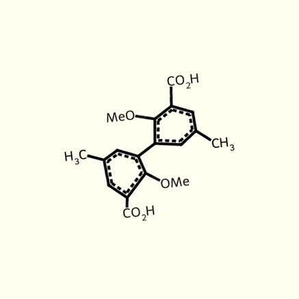 COc1c(C(=O)O)cc(C)cc1-c1cc(C)cc(C(=O)O)c1OC